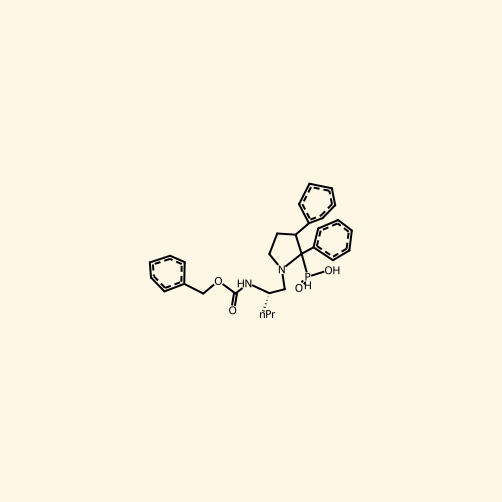 CCC[C@@H](CN1CCC(c2ccccc2)C1(c1ccccc1)[PH](=O)O)NC(=O)OCc1ccccc1